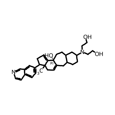 CC12CC=C3CC4CCC(N(CCO)CCO)CC4CC[C@]3(O)C1=CCC2c1ccc2ccncc2c1